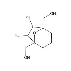 [2H]C1C([2H])C2(CO)CC=CC1(CO)O2